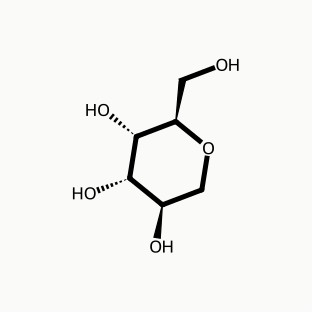 OC[C@H]1OC[C@@H](O)[C@H](O)[C@@H]1O